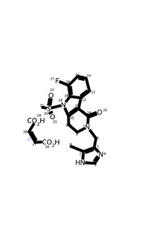 Cc1[nH]cnc1CN1CCc2c(c3cccc(F)c3n2S(C)(=O)=O)C1=O.O=C(O)/C=C\C(=O)O